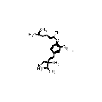 COc1cc(CCC(N)(CO)C(C)C)ccc1O[C@@H](C)CCCC(C)C